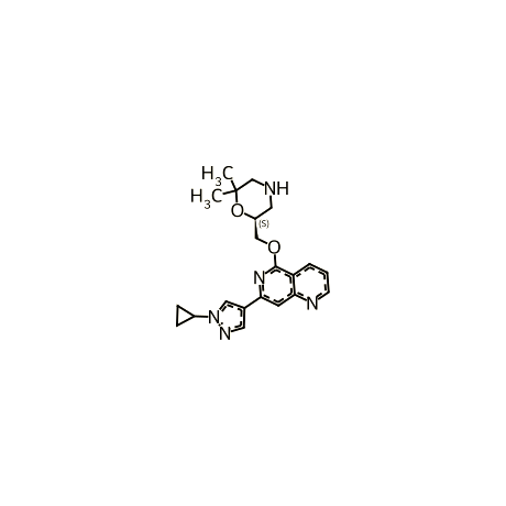 CC1(C)CNC[C@@H](COc2nc(-c3cnn(C4CC4)c3)cc3ncccc23)O1